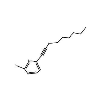 CCCCCCCC#Cc1cccc(F)n1